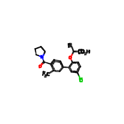 CCC(Oc1ccc(Cl)cc1-c1ccc(C(=O)N2CCCC2)c(C(F)(F)F)c1)C(=O)O